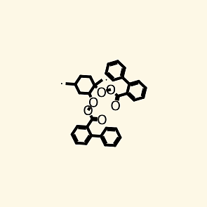 [CH2]C1CCC([CH2])(OOC(=O)c2ccccc2-c2ccccc2)C(OOC(=O)c2ccccc2-c2ccccc2)C1